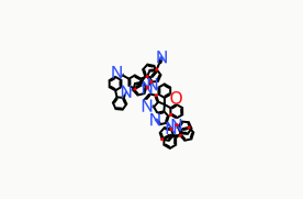 N#Cc1ccc2c(c1)c1cc(C#N)ccc1n2-c1cnc2c(c1)C1(c3cc(-n4c5ccccc5c5ccccc54)ccc3Oc3ccc(-n4c5ccccc5c5cc(-n6c7ccccc7c7ccccc76)ccc54)cc31)c1cc(-n3c4ccccc4c4ccccc43)cnc1-2